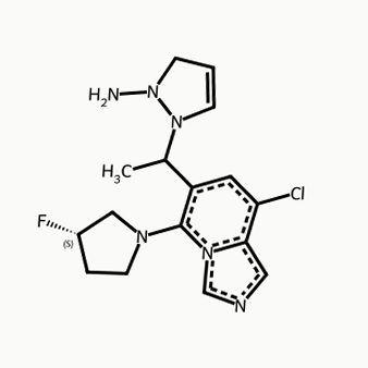 CC(c1cc(Cl)c2cncn2c1N1CC[C@H](F)C1)N1C=CCN1N